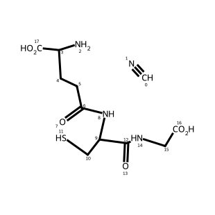 C#N.NC(CCC(=O)NC(CS)C(=O)NCC(=O)O)C(=O)O